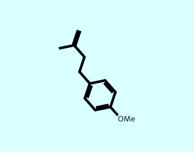 C=C(C)CCc1ccc(OC)cc1